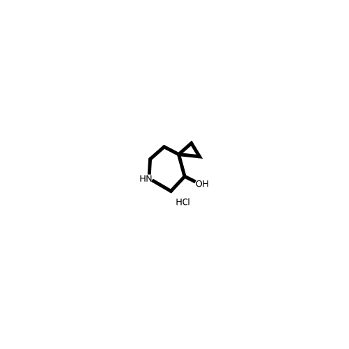 Cl.OC1CNCCC12CC2